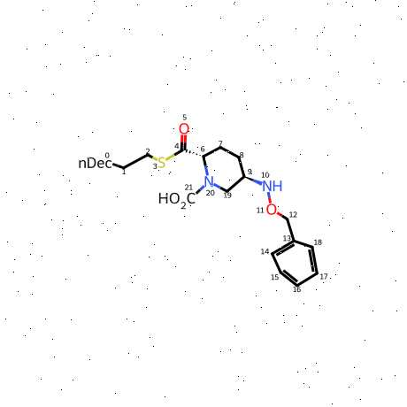 CCCCCCCCCCCCSC(=O)[C@@H]1CC[C@@H](NOCc2ccccc2)CN1C(=O)O